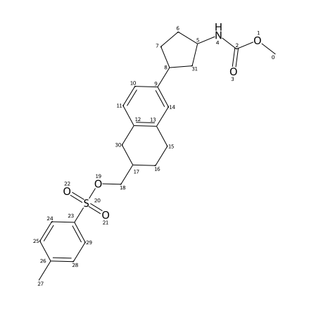 COC(=O)NC1CCC(c2ccc3c(c2)CCC(COS(=O)(=O)c2ccc(C)cc2)C3)C1